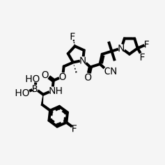 CC(C)(C=C(C#N)C(=O)N1C[C@@H](F)C[C@]1(C)COC(=O)N[C@@H](Cc1ccc(F)cc1)B(O)O)N1CCC(F)(F)C1